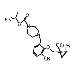 CC(OC(=O)N1CCN(Cc2cccc(C#N)c2OCC2(C(=O)O)CC2)CC1)C(F)(F)F